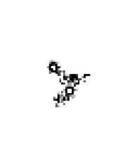 CCOC(=O)CN(C1CCC(O[Si](C)(C)C(C)(C)C)CC1)S(=O)(=O)NC(=O)OCc1ccccc1